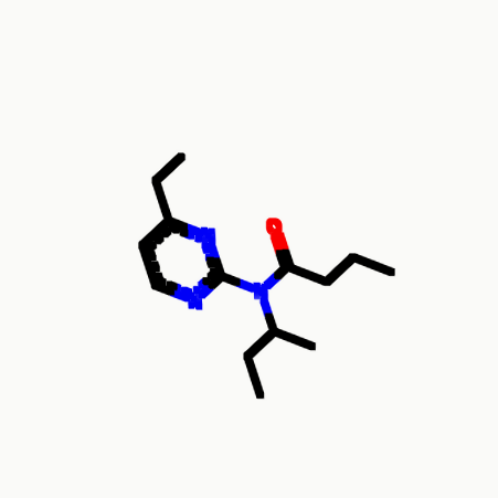 CCCC(=O)N(c1nccc(CC)n1)C(C)CC